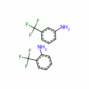 Nc1cccc(C(F)(F)F)c1.Nc1ccccc1C(F)(F)F